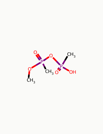 COP(C)(=O)OP(C)(=O)O